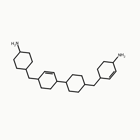 NC1C=CC(CC2CCC(C3C=CC(CC4CCC(N)CC4)CC3)CC2)CC1